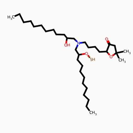 CCCCCCCCCCC(O)CN(CCCCC1OC(C)(C)CC1=O)CC(CCCCCCCCCC)OS